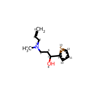 C=CCN(C)CCC(O)c1cccs1